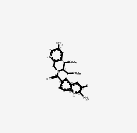 COCC(COC)N(Cc1ccc(C(F)(F)F)cn1)C(=O)c1ccc2nc(N)c(C)cc2c1